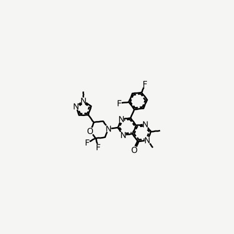 Cc1nc2c(-c3ccc(F)cc3F)nc(N3CC(c4cnn(C)c4)OC(F)(F)C3)nc2c(=O)n1C